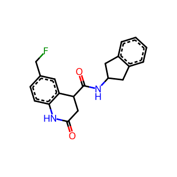 O=C1CC(C(=O)NC2Cc3ccccc3C2)c2cc(CF)ccc2N1